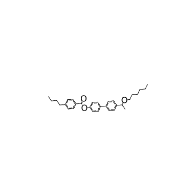 CCCCCCOC(C)c1ccc(-c2ccc(OC(=O)c3ccc(CCCC)cc3)cc2)cc1